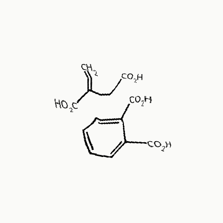 C=C(CC(=O)O)C(=O)O.O=C(O)c1ccccc1C(=O)O